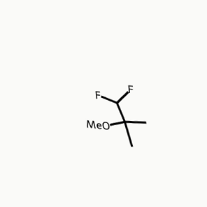 COC(C)(C)C(F)F